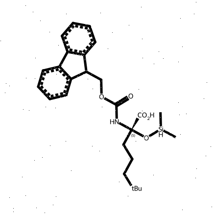 C[SiH](C)O[C@](CCCC(C)(C)C)(NC(=O)OCC1c2ccccc2-c2ccccc21)C(=O)O